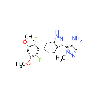 COc1cc(OC)c(F)c(C2CCc3c(-c4c(N)cnn4C)n[nH]c3C2)c1F